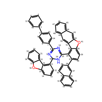 c1ccc(-c2ccc(C3=NC(c4cccc5oc6ccccc6c45)NC(c4c(-c5ccc6ccccc6c5)ccc5oc6cc7ccccc7cc6c45)=N3)cc2)cc1